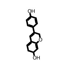 Oc1ccc(C2=CC3=CCC(O)C=C3OC2)cc1